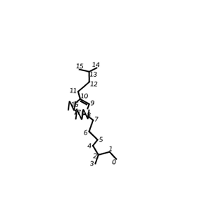 CCC(C)CCCCn1cc(CCC(C)C)nn1